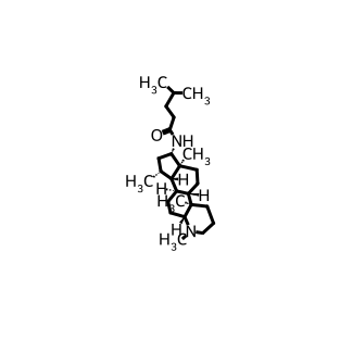 CC(C)CCC(=O)N[C@H]1C[C@@H](C)[C@H]2[C@@H]3CC[C@H]4N(C)CCC[C@]4(C)[C@H]3CC[C@@]21C